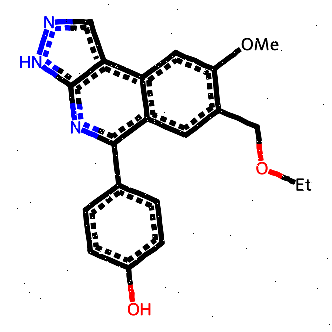 CCOCc1cc2c(-c3ccc(O)cc3)nc3[nH]ncc3c2cc1OC